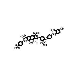 Nc1cc(O)ccc1N=Nc1ccc(Nc2ccc(N=Nc3c(S(=O)(=O)O)cc4cc(S(=O)(=O)O)c(N=Nc5ccc(S(=O)(=O)O)cc5)c(O)c4c3N)cc2S(=O)(=O)O)cc1